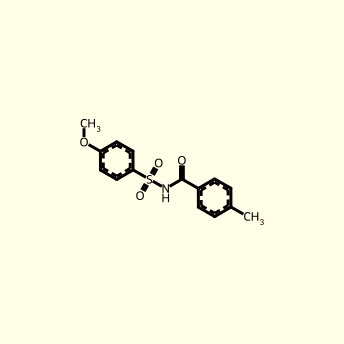 COc1ccc(S(=O)(=O)NC(=O)c2ccc(C)cc2)cc1